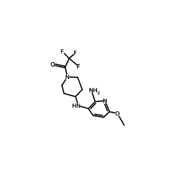 COc1ccc(NC2CCN(C(=O)C(F)(F)F)CC2)c(N)n1